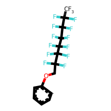 FC(F)(F)C(F)(F)C(F)(F)C(F)(F)C(F)(F)C(F)(F)C(F)(F)COc1[c]cccc1